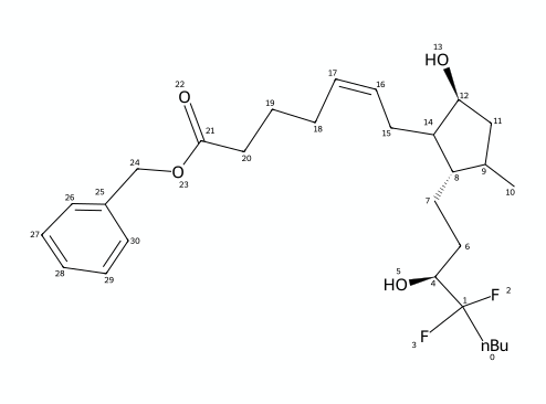 CCCCC(F)(F)[C@@H](O)CC[C@H]1C(C)C[C@H](O)C1C/C=C\CCCC(=O)OCc1ccccc1